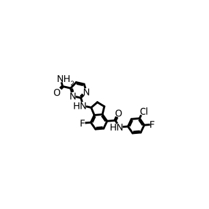 NC(=O)c1ccnc(NC2CCc3c(C(=O)Nc4ccc(F)c(Cl)c4)ccc(F)c32)n1